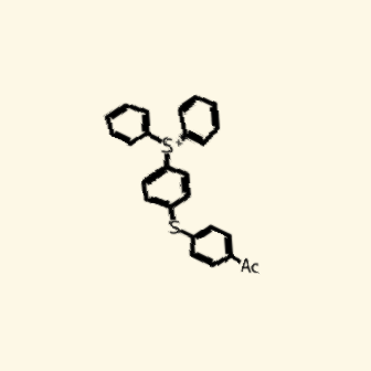 CC(=O)c1ccc(Sc2ccc([S+](c3ccccc3)c3ccccc3)cc2)cc1